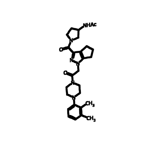 CC(=O)NC1CCN(C(=O)c2nn(CC(=O)N3CCN(c4cccc(C)c4C)CC3)c3c2CCC3)C1